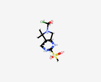 CC1(C)c2cnc(S(C)(=O)=O)nc2CN1C(=O)Cl